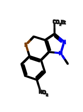 CCOC(=O)c1nn(C)c2c1CSc1ccc([N+](=O)[O-])cc1-2